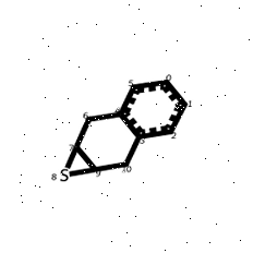 c1ccc2c(c1)CC1SC1C2